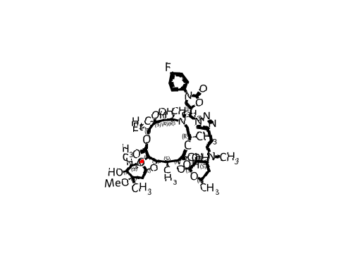 CC[C@H]1OC(=O)[C@H](C)[C@@H](O[C@H]2C[C@@](C)(OC)[C@@H](O)[C@H](C)O2)[C@H](C)[C@@H](O[C@@H]2O[C@H](C)C[C@H](N(C)CCc3cn(C[C@H]4CN(c5ccc(F)cc5)C(=O)O4)nn3)[C@H]2O)[C@](C)(O)C[C@@H](C)CN(C)[C@H](C)[C@@H](O)[C@]1(C)O